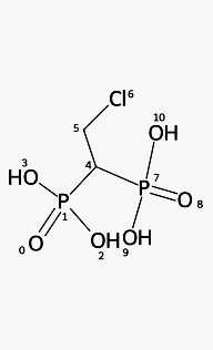 O=P(O)(O)C(CCl)P(=O)(O)O